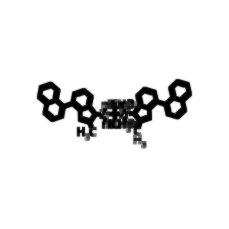 CCC[CH2][Zr]([CH2]CCC)([CH]1C(C)=Cc2c(-c3cccc4ccccc34)cccc21)[C](C)(C)[Zr]([CH2]CCC)([CH2]CCC)[CH]1C(C)=Cc2c(-c3cccc4ccccc34)cccc21